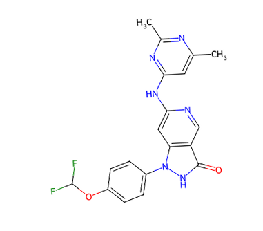 Cc1cc(Nc2cc3c(cn2)c(=O)[nH]n3-c2ccc(OC(F)F)cc2)nc(C)n1